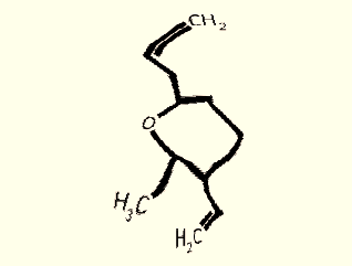 C=CC1CCC(C=C)C(C)O1